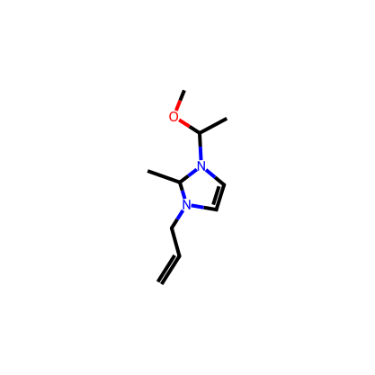 C=CCN1C=CN(C(C)OC)C1C